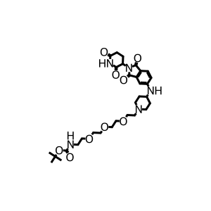 CC(C)(C)OC(=O)NCCOCCOCCOCCN1CCC(Nc2ccc3c(c2)C(=O)N(C2CCC(=O)NC2=O)C3=O)CC1